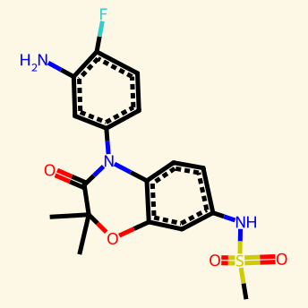 CC1(C)Oc2cc(NS(C)(=O)=O)ccc2N(c2ccc(F)c(N)c2)C1=O